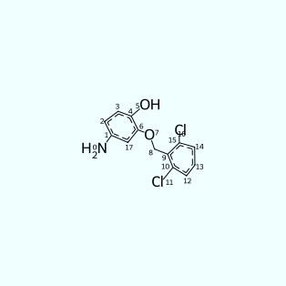 Nc1ccc(O)c(OCc2c(Cl)cccc2Cl)c1